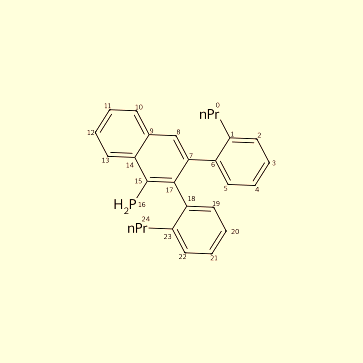 CCCc1ccccc1-c1cc2ccccc2c(P)c1-c1ccccc1CCC